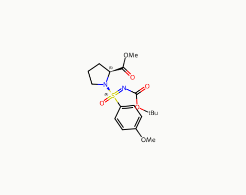 COC(=O)[C@@H]1CCCN1[S@@](=O)(=NC(=O)OC(C)(C)C)c1ccc(OC)cc1